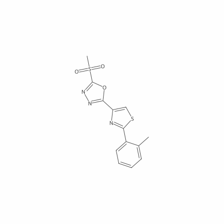 Cc1ccccc1-c1nc(-c2nnc(S(C)(=O)=O)o2)cs1